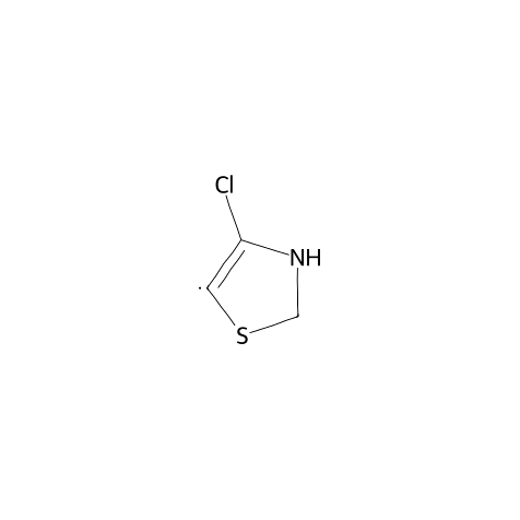 ClC1=[C]SCN1